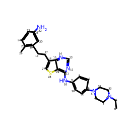 CCN1CCN(c2ccc(Nc3ncnc4c(CCc5cc(N)ccc5C)csc34)cc2)CC1